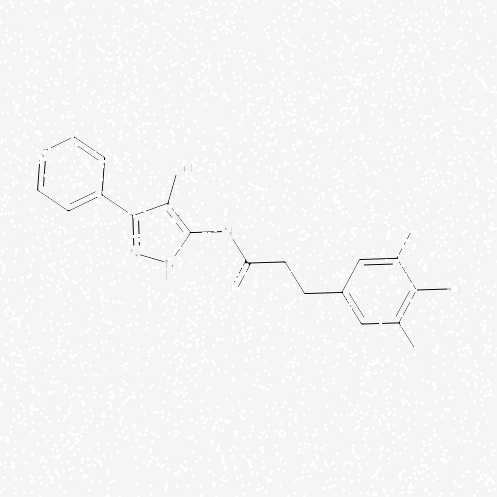 Cc1c(-c2ccncc2)n[nH]c1NC(=O)[C@H](F)Cc1cc(F)c(Cl)c(F)c1